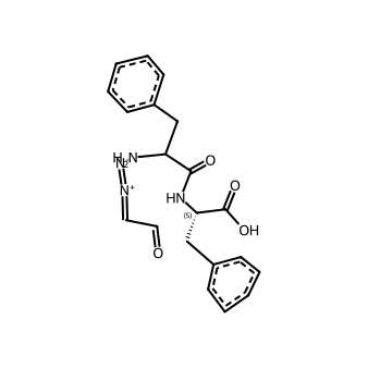 NC(Cc1ccccc1)C(=O)N[C@@H](Cc1ccccc1)C(=O)O.[N-]=[N+]=CC=O